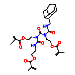 C=C(C)C(=O)OCCNC(=O)N(CCOC(=O)C(=C)C)C(=O)N(CCOC(=O)C(=C)C)C(=O)NCC1C2CC3CC(C2)CC1C3